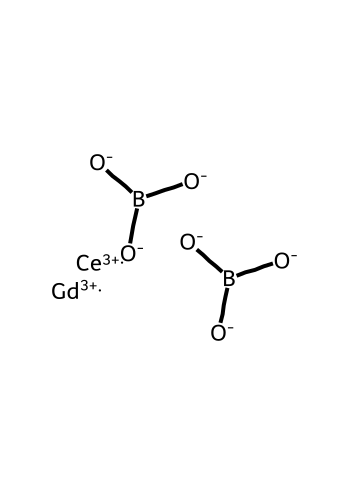 [Ce+3].[Gd+3].[O-]B([O-])[O-].[O-]B([O-])[O-]